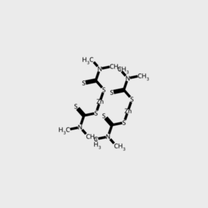 CN(C)C(=S)[S][Zn][S]C(=S)N(C)C.CN(C)C(=S)[S][Zn][S]C(=S)N(C)C